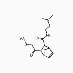 CN(C)CCNC(=O)C1C2C=CC(C2)C1C(=O)CSS